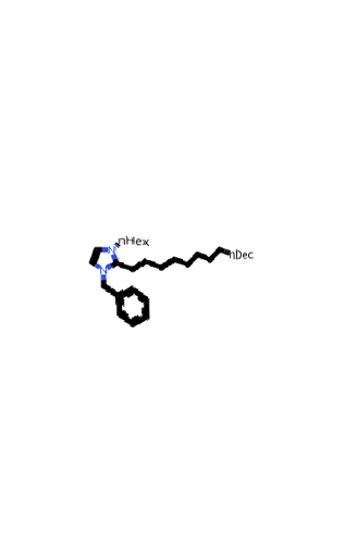 CCCCCCCCCCCCCCCCCCC1N(CCCCCC)C=CN1Cc1ccccc1